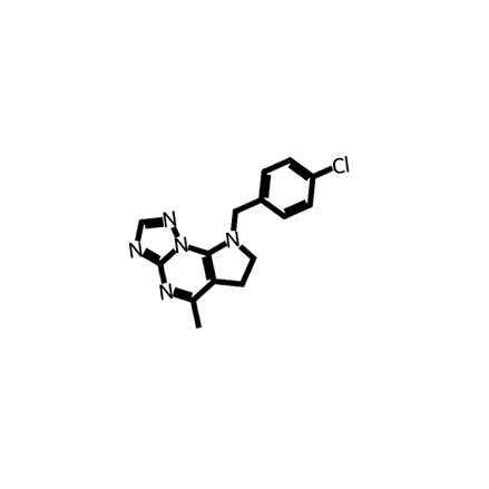 Cc1nc2ncnn2c2c1CCN2Cc1ccc(Cl)cc1